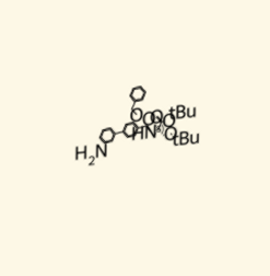 CC(C)(C)OC[C@H](NC(=O)c1ccc(-c2cccc(N)c2)cc1OCc1ccccc1)C(=O)OC(C)(C)C